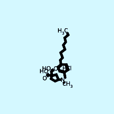 CCCCCCCCCc1ccc(CN(C)C2CCC(C(=O)O)(C(=O)O)C2)cc1.Cl